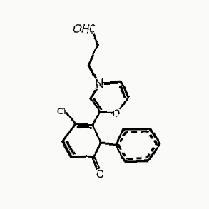 O=CCCN1C=COC(C2=C(Cl)C=CC(=O)C2c2ccccc2)=C1